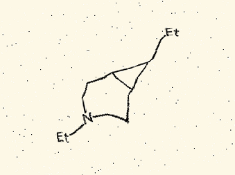 CCC1C2CN(CC)CC12